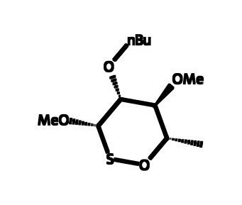 CCCCO[C@@H]1[C@@H](OC)[C@H](C)OS[C@@H]1OC